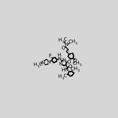 CCN(CC)C(=O)/C=C/c1ccc(OC)c(Oc2nc(Nc3ccc(N4CCN(C)CC4)c(F)c3)ncc2C(=O)Nc2c(C)cccc2C)c1